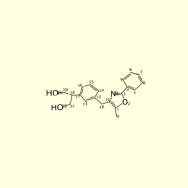 Cc1oc(-c2ccccc2)nc1Cc1cccc(C(CO)CO)c1